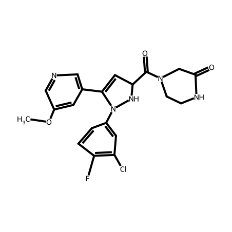 COc1cncc(C2=CC(C(=O)N3CCNC(=O)C3)NN2c2ccc(F)c(Cl)c2)c1